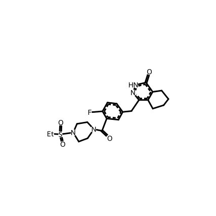 CCS(=O)(=O)N1CCN(C(=O)c2cc(Cc3n[nH]c(=O)c4c3CCCC4)ccc2F)CC1